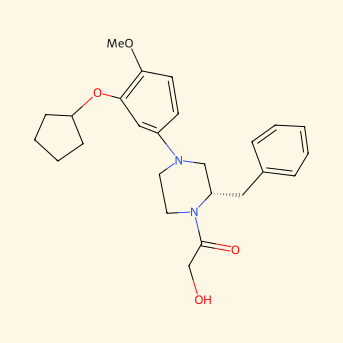 COc1ccc(N2CCN(C(=O)CO)[C@@H](Cc3ccccc3)C2)cc1OC1CCCC1